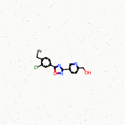 CC(C)Cc1ccc(-c2nc(-c3ccc(CO)nc3)no2)cc1Cl